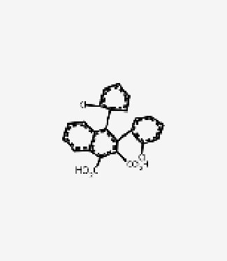 O=C(O)c1c(-c2ccccc2Cl)c(-c2ccccc2Cl)c2ccccc2c1C(=O)O